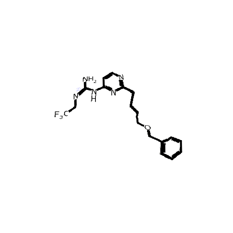 N/C(=N/CC(F)(F)F)Nc1ccnc(CCCCOCc2ccccc2)n1